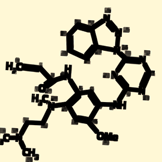 C=CC(=O)Nc1cc(Nc2ncnc(-n3nnc4ccccc43)n2)c(OC)cc1N(C)CCN(C)C